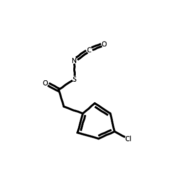 O=C=NSC(=O)Cc1ccc(Cl)cc1